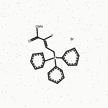 COC(=O)C(F)=CC[P+](c1ccccc1)(c1ccccc1)c1ccccc1.[Br-]